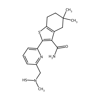 CN(S)Cc1cccc(-c2sc3c(c2C(N)=O)CC(C)(C)CC3)n1